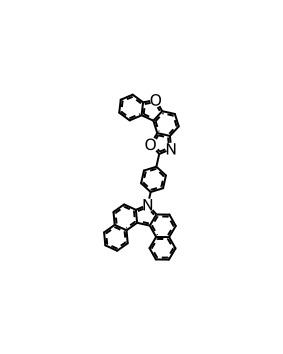 c1ccc2c(c1)ccc1c2c2c3ccccc3ccc2n1-c1ccc(-c2nc3ccc4oc5ccccc5c4c3o2)cc1